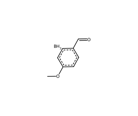 B.COc1ccc(C=O)cc1